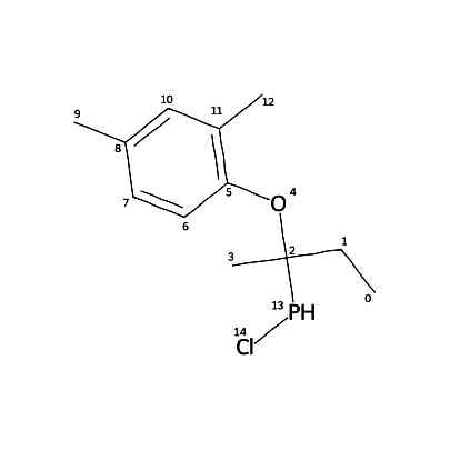 CCC(C)(Oc1ccc(C)cc1C)PCl